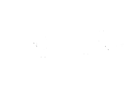 CC1CCN(S(=O)(=O)c2ccc3oc(C(=O)NC(C)C)cc3c2)CC1